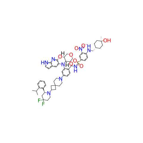 CC(C)c1ccccc1[C@@H]1CC(F)(F)CCN1C1CC2(CCN(c3ccc(C(=O)NS(=O)(=O)c4ccc(NC[C@H]5CC[C@](C)(O)CC5)c([N+](=O)[O-])c4)c(N4c5cc6cc[nH]c6nc5O[C@H]5COCC[C@@H]54)c3)CC2)C1